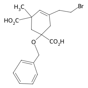 CC1(C(=O)O)C=C(CCBr)CC(OCc2ccccc2)(C(=O)O)C1